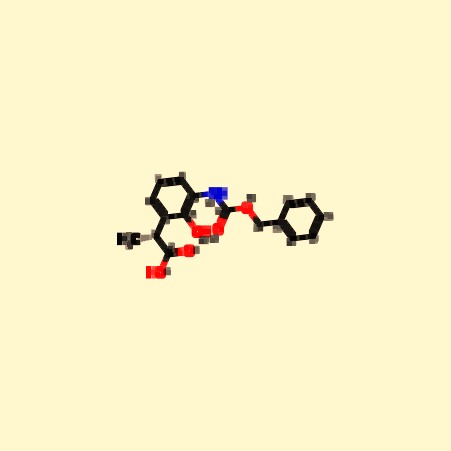 C[C@@H](C(=O)O)c1cccc(NC(=O)OCc2ccccc2)c1O